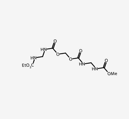 CCOC(=O)NCNC(=O)OCOC(=O)NCNC(=O)OC